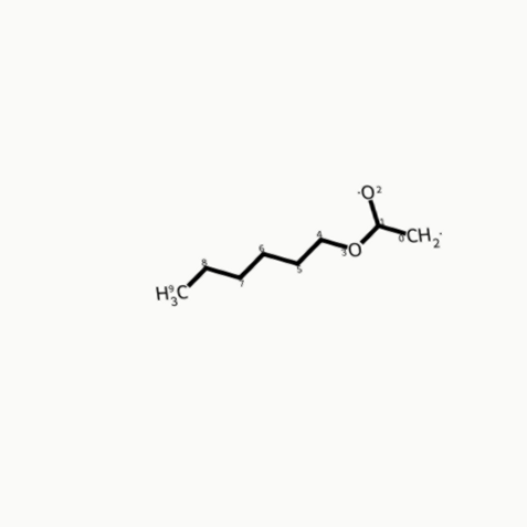 [CH2]C([O])OCCCCCC